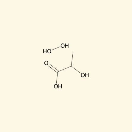 CC(O)C(=O)O.OO